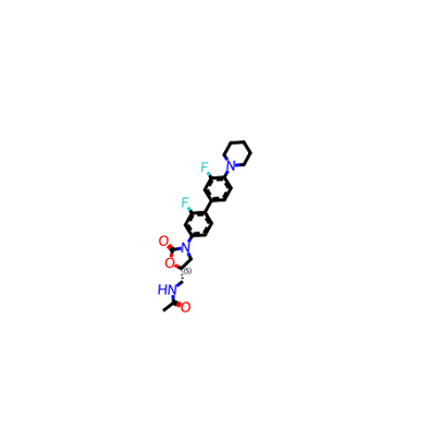 CC(=O)NC[C@H]1CN(c2ccc(-c3ccc(N4CCCCC4)c(F)c3)c(F)c2)C(=O)O1